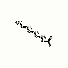 CC(=O)O[SiH2]O[SiH2]O[SiH2]O[SiH3]